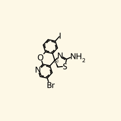 NC1=N[C@@]2(CS1)c1cc(I)ccc1Oc1ncc(Br)cc12